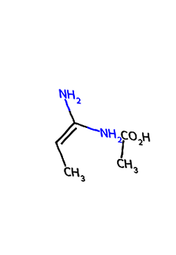 CC(=O)O.CC=C(N)N